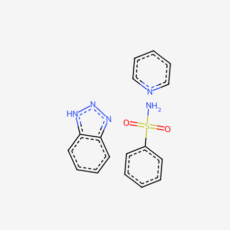 NS(=O)(=O)c1ccccc1.c1ccc2[nH]nnc2c1.c1ccncc1